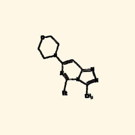 CCc1nc(N2CCOCC2)cc2nnc(C)n12